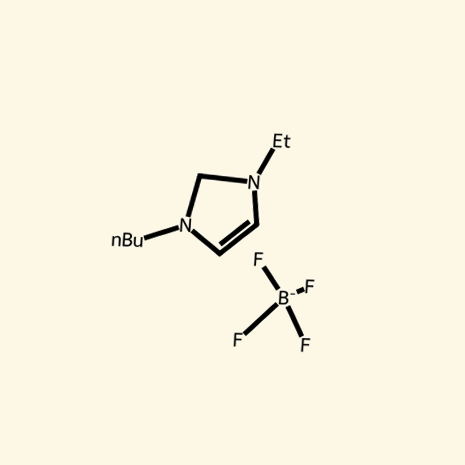 CCCCN1C=CN(CC)C1.F[B-](F)(F)F